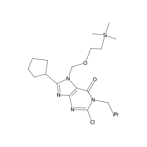 CC(C)Cn1c(Cl)nc2nc(C3CCCC3)n(COCC[Si](C)(C)C)c2c1=O